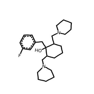 OC1(Cc2cccc(F)c2)C(CN2CCCCC2)CCCC1CN1CCCCC1